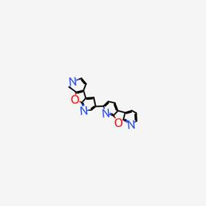 c1cnc2oc3nc(-c4cnc5oc6cnccc6c5c4)ccc3c2c1